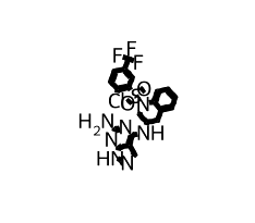 Nc1nc(NC2Cc3ccccc3N(S(=O)(=O)c3cc(C(F)(F)F)ccc3Cl)C2)c2cn[nH]c2n1